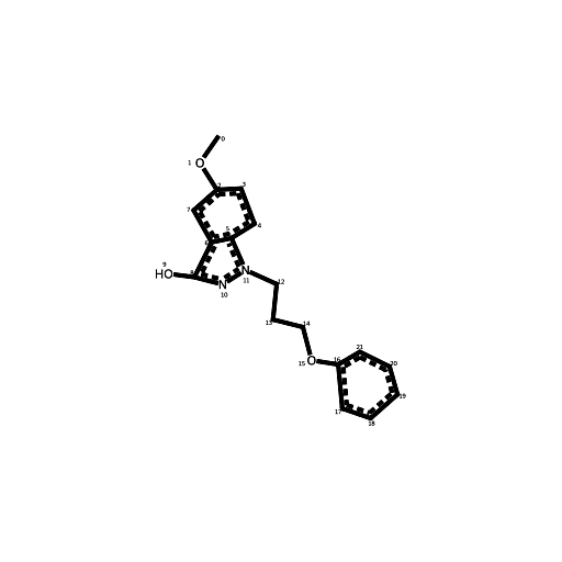 COc1ccc2c(c1)c(O)nn2CCCOc1ccccc1